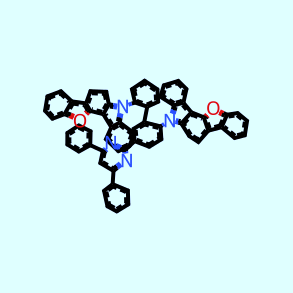 c1ccc(-c2cc(-c3ccccc3)nc(-c3ccc(-n4c5ccccc5c5c6oc7ccccc7c6ccc54)c(-c4ccccc4-n4c5ccccc5c5c6oc7ccccc7c6ccc54)c3)n2)cc1